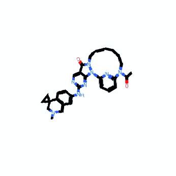 CC(=O)N1CCC/C=C\Cn2c(=O)c3cnc(Nc4ccc5c(c4)CN(C)CC54CC4)nc3n2-c2cccc1n2